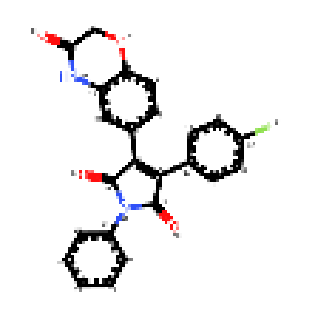 O=C1COc2ccc(C3=C(c4ccc(F)cc4)C(=O)N(c4ccccc4)C3=O)cc2N1